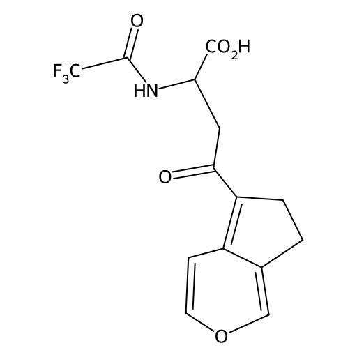 O=C(CC(NC(=O)C(F)(F)F)C(=O)O)C1=C2C=COC=C2CC1